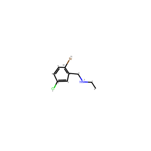 CCNCc1cc(Cl)ccc1Br